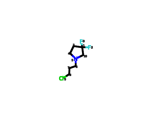 FC1(F)CCN(CCCCl)C1